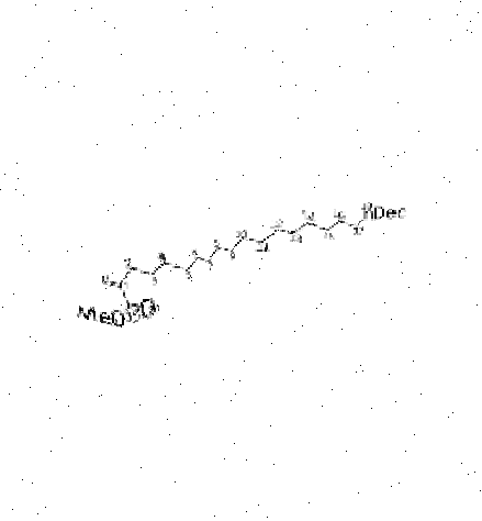 C=C(CCCCCCCCCCCCCCCCCCCCCCCCCC)C(=O)OC